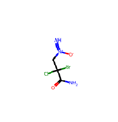 N=[N+]([O-])CC(Cl)(Br)C(N)=O